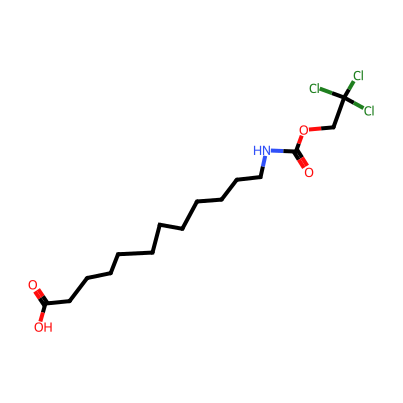 O=C(O)CCCCCCCCCCCNC(=O)OCC(Cl)(Cl)Cl